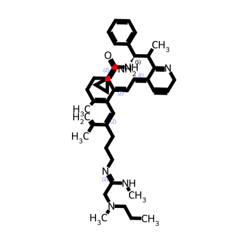 C=C(C)/C(=C\C1=C(C)CCC(=C/N)/C1=C\C=C1/C#CCN=C1C(C)[C@H](NC(=O)C1CC1)c1ccccc1)CCC/N=C(/CN(C)CCC)NC